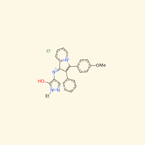 CCn1ncc(/N=C2\C(c3ccccc3)=C(c3ccc(OC)cc3)[n+]3ccccc32)c1O.[Cl-]